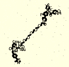 Cc1ncsc1-c1ccc(CNC(=O)[C@@H]2C[C@@H](O)CN2C(=O)C(NC(=O)CCOCCOCCOCCOCCOCCC(=O)N2CC=C(c3cc(NC(=O)c4c[nH]c(=O)cc4C(F)(F)F)c(N4C[C@@H](C)N(C)[C@@H](C)C4)cc3F)CC2)C(C)(C)C)cc1